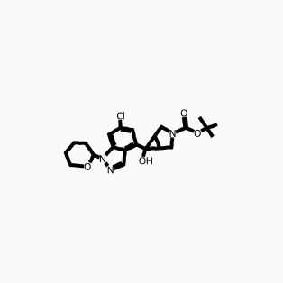 CC(C)(C)OC(=O)N1CC2C(C1)C2(O)c1cc(Cl)cc2c1cnn2C1CCCCO1